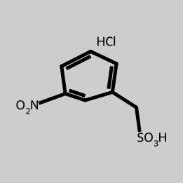 Cl.O=[N+]([O-])c1cccc(CS(=O)(=O)O)c1